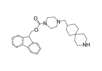 O=C(OCC1c2ccccc2-c2ccccc21)N1CCN(CC2CCC3(CCNCC3)CC2)CC1